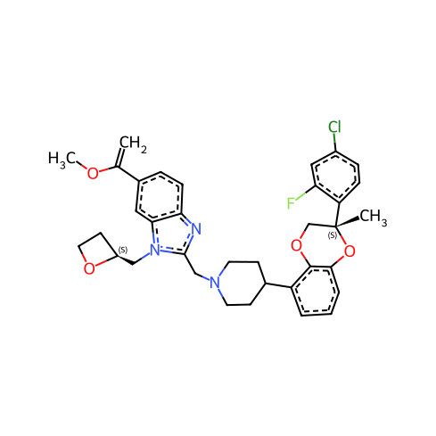 C=C(OC)c1ccc2nc(CN3CCC(c4cccc5c4OC[C@](C)(c4ccc(Cl)cc4F)O5)CC3)n(C[C@@H]3CCO3)c2c1